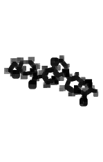 CC1N=C2C=C(N3CCOc4cc(C(=O)N5CCCC6(CCO6)C5)cnc43)C=CN2C1=O